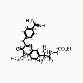 CCOC(=O)CNC(=O)C(C)(C)c1ccc2c(c1)nc(Cc1ccc(C(=N)N)cc1)c(=O)n2C.Cl